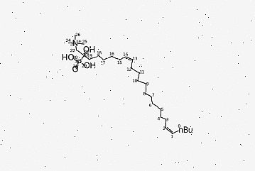 CCCC/C=C\CCCCCCCCCC/C=C\CCCCCC(O)(C[N+](C)(C)C)P(=O)(O)O